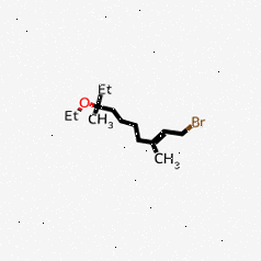 CCOC(C)(CC)CCCCC(C)=CCBr